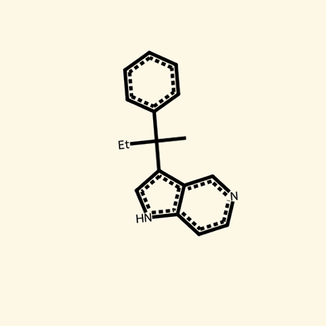 [CH2]CC(C)(c1ccccc1)c1c[nH]c2ccncc12